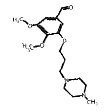 COc1cc(C=O)cc(OCCCN2CCN(C)CC2)c1OC